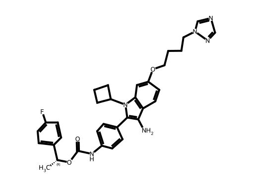 C[C@@H](OC(=O)Nc1ccc(-c2c(N)c3ccc(OCCCCn4cncn4)cc3n2C2CCC2)cc1)c1ccc(F)cc1